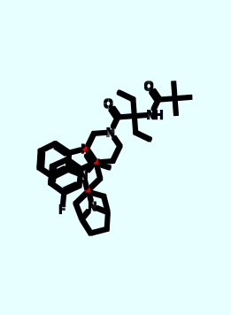 CCC(CC)(NC(=O)C(C)(C)C)C(=O)N1CCC(CCN2C3CCC2CC(n2c(C)nc4ccccc42)C3)(c2cccc(F)c2)CC1